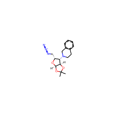 CC1(C)O[C@H]2O[C@H](CN=[N+]=[N-])[C@H](N3CCc4ccccc4C3)[C@H]2O1